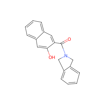 O=C(c1cc2ccccc2cc1O)N1Cc2ccccc2C1